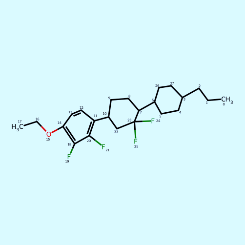 CCCC1CCC(C2CCC(c3ccc(OCC)c(F)c3F)CC2(F)F)CC1